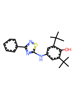 CC(C)(C)c1cc(Nc2nc(-c3ccccc3)ns2)cc(C(C)(C)C)c1O